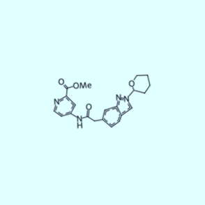 COC(=O)c1cc(NC(=O)Cc2ccc3cn(C4CCCCO4)nc3c2)ccn1